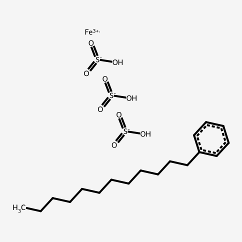 CCCCCCCCCCCCc1ccccc1.O=[S-](=O)O.O=[S-](=O)O.O=[S-](=O)O.[Fe+3]